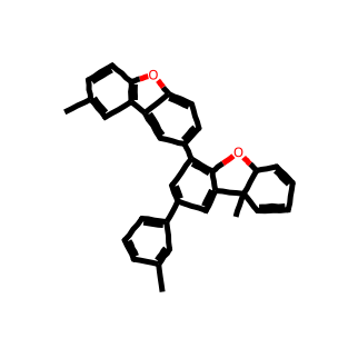 Cc1cccc(-c2cc(-c3ccc4oc5ccc(C)cc5c4c3)c3c(c2)C2(C)C=CC=CC2O3)c1